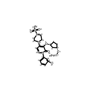 CCCCCO[C@H]1CC[C@H](Oc2c(N3CCN(S(=O)(=O)C(C)C)CC3)cnn(-c3cccc(Cl)c3)c2=O)C1